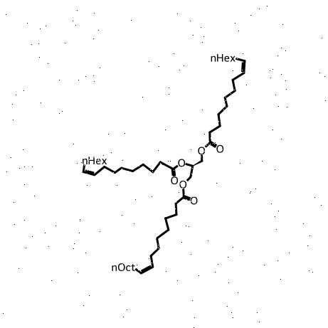 CCCCCC/C=C\CCCCCCCC(=O)OC[C@@H](COC(=O)CCCCCCC/C=C\CCCCCCCC)OC(=O)CCCCCCC/C=C\CCCCCC